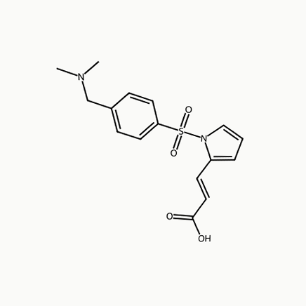 CN(C)Cc1ccc(S(=O)(=O)n2cccc2C=CC(=O)O)cc1